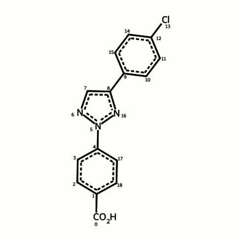 O=C(O)c1ccc(-n2ncc(-c3ccc(Cl)cc3)n2)cc1